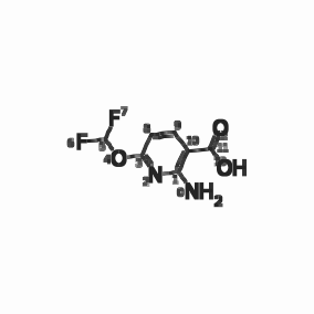 Nc1nc(OC(F)F)ccc1C(=O)O